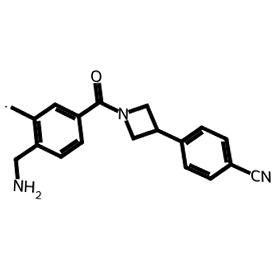 [CH2]c1cc(C(=O)N2CC(c3ccc(C#N)cc3)C2)ccc1CN